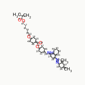 C=C(C)C(=O)OCCCCCCOc1ccc(C(=O)Oc2ccc(CNc3ccc(/N=N/c4ccc(C)cc4C)c4ccccc34)cc2)cc1